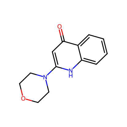 O=c1cc(N2CCOCC2)[nH]c2ccccc12